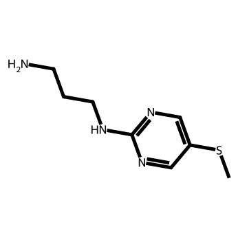 CSc1cnc(NCCCN)nc1